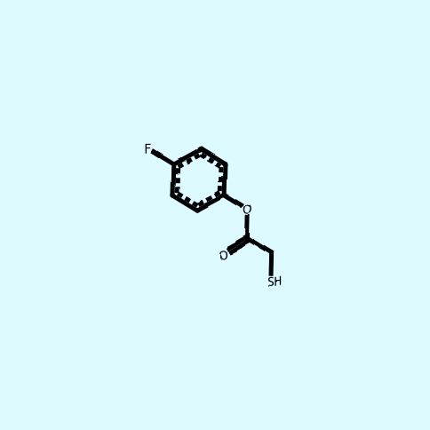 O=C(CS)Oc1ccc(F)cc1